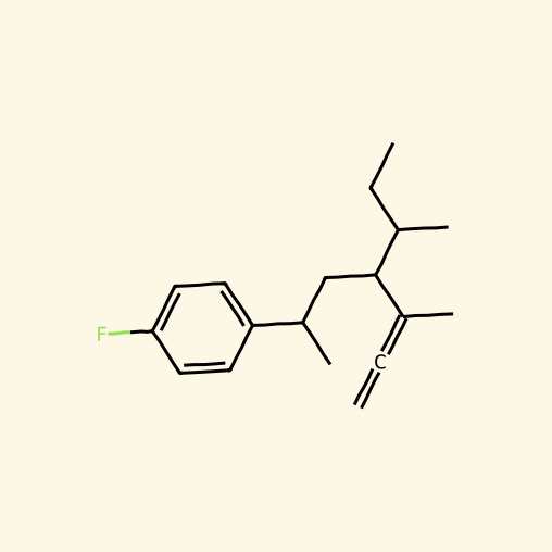 C=C=C(C)C(CC(C)c1ccc(F)cc1)C(C)CC